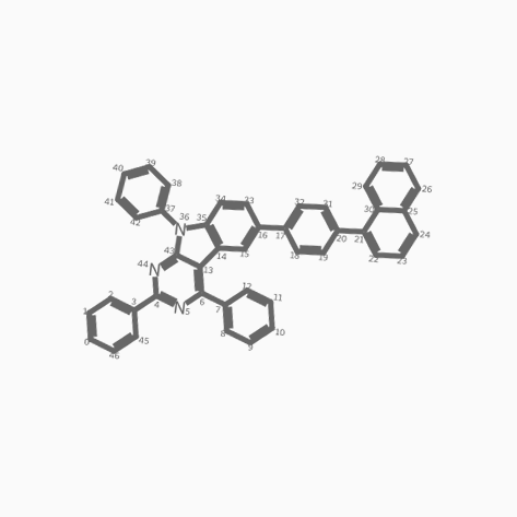 c1ccc(-c2nc(-c3ccccc3)c3c4cc(-c5ccc(-c6cccc7ccccc67)cc5)ccc4n(-c4ccccc4)c3n2)cc1